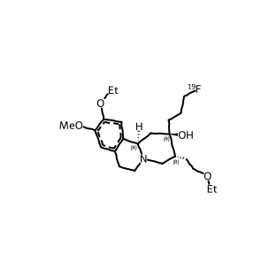 CCOCC[C@@H]1CN2CCc3cc(OC)c(OCC)cc3[C@H]2C[C@]1(O)CCC[19F]